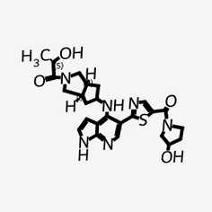 C[C@H](O)C(=O)N1C[C@H]2CC(Nc3c(-c4ncc(C(=O)N5CCC(O)C5)s4)cnc4[nH]ccc34)C[C@H]2C1